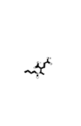 CCCC[S+]([O-])C(C)C(CCC(=O)O)C(=O)O